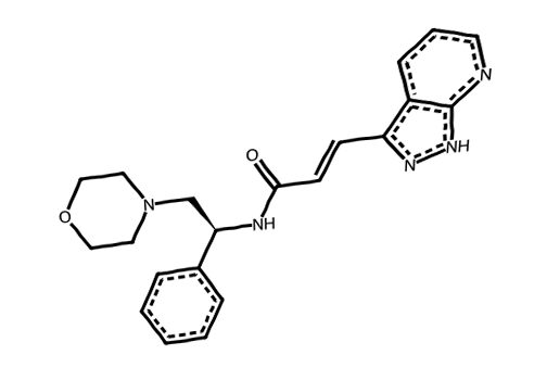 O=C(/C=C/c1n[nH]c2ncccc12)N[C@H](CN1CCOCC1)c1ccccc1